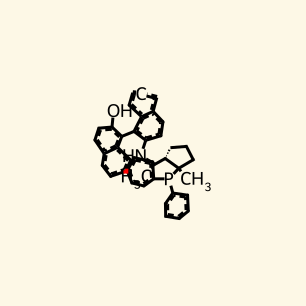 C[C@@H](Nc1ccc2ccccc2c1-c1c(O)ccc2ccccc12)[C@@H]1CCCC1(C)P(c1ccccc1)c1ccccc1